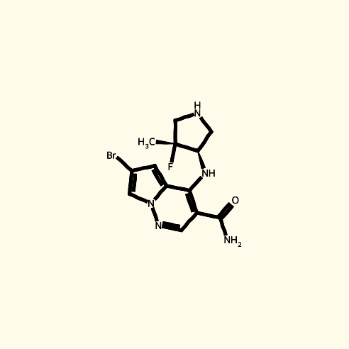 C[C@@]1(F)CNC[C@H]1Nc1c(C(N)=O)cnn2cc(Br)cc12